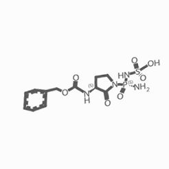 N[P@@](=O)(NS(=O)(=O)O)N1CC[C@H](NC(=O)OCc2ccccc2)C1=O